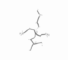 COCC[C@](CN)(CO)CC(C)C